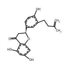 C=C(C)CCc1cc([C@@H]2CC(=O)c3c(O)cc(O)cc3O2)ccc1O